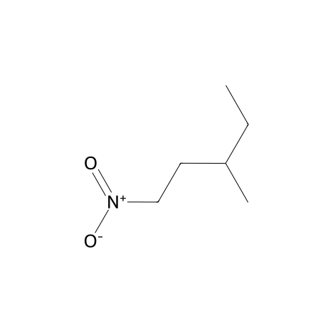 CCC(C)CC[N+](=O)[O-]